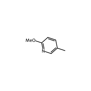 COc1ccc(C)cn1